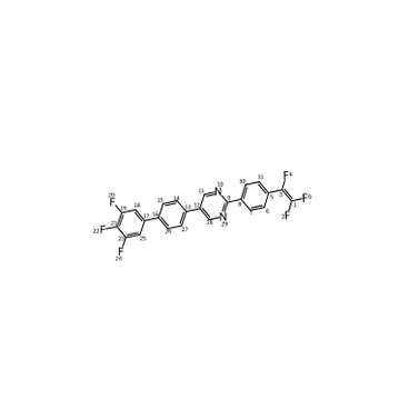 FC(F)=C(F)c1ccc(-c2ncc(-c3ccc(-c4cc(F)c(F)c(F)c4)cc3)cn2)cc1